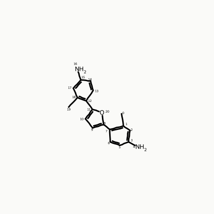 Cc1cc(N)ccc1-c1ccc(-c2ccc(N)cc2C)o1